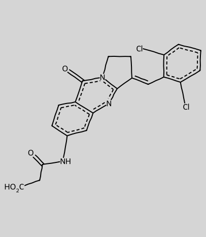 O=C(O)CC(=O)Nc1ccc2c(=O)n3c(nc2c1)C(=Cc1c(Cl)cccc1Cl)CC3